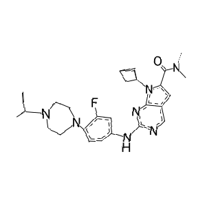 CC(C)N1CCN(c2ccc(Nc3ncc4cc(C(=O)N(C)C)n(C56CC(C5)C6)c4n3)cc2F)CC1